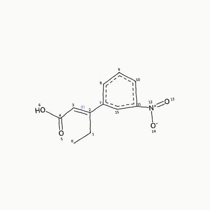 CC/C(=C\C(=O)O)c1cccc([N+](=O)[O-])c1